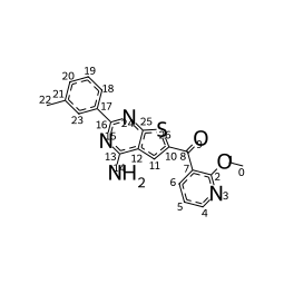 COc1ncccc1C(=O)c1cc2c(N)nc(-c3cccc(C)c3)nc2s1